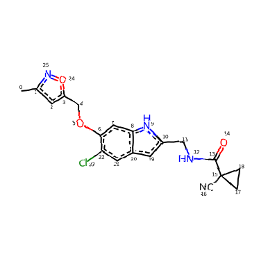 Cc1cc(COc2cc3[nH]c(CNC(=O)C4(C#N)CC4)cc3cc2Cl)on1